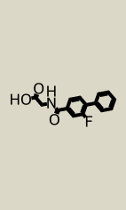 O=C(O)CNC(=O)c1ccc(-c2ccccc2)c(F)c1